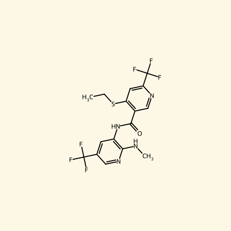 CCSc1cc(C(F)(F)F)ncc1C(=O)Nc1cc(C(F)(F)F)cnc1NC